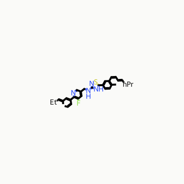 C\C=C/C(=C\C(C)=C\CC)c1ncc(CNC2=NSC(c3ccc(C)c(/C=C\C=C\CCC)c3)N2)cc1F